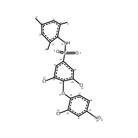 Cc1cc(C)c(NS(=O)(=O)c2cc(Cl)c(Oc3ccc([N+](=O)[O-])cc3Cl)c(Cl)c2)c(C)c1